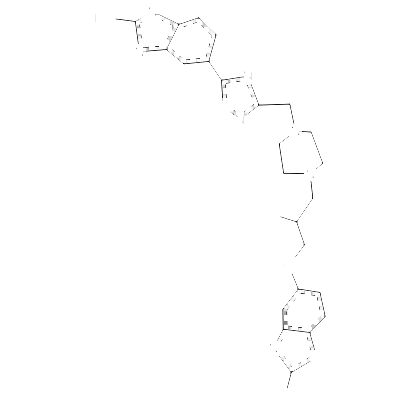 Cc1nc2cc(-c3nc(CN4CCN(CC(O)COc5ccc6sc(C)nc6c5)CC4)no3)ccc2[nH]1